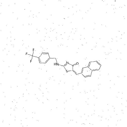 O=C1N=C(NCc2ccc(C(F)(F)F)cc2)SC1=Cc1ccc2ccccc2c1